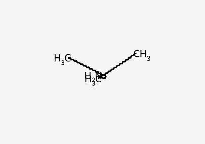 CCCCCCCCCCCCCCCCCCCCCCc1cccc(C(C)N)c1CCCCCCCCCCCCCCCCCCCCCC